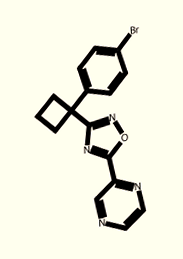 Brc1ccc(C2(c3noc(-c4cnccn4)n3)CCC2)cc1